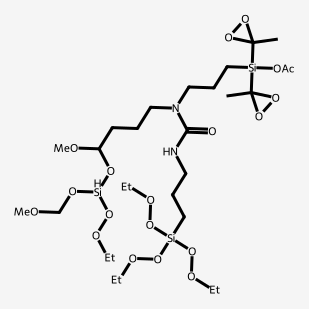 CCOO[SiH](OCOC)OC(CCCN(CCC[Si](OC(C)=O)(C1(C)OO1)C1(C)OO1)C(=O)NCCC[Si](OOCC)(OOCC)OOCC)OC